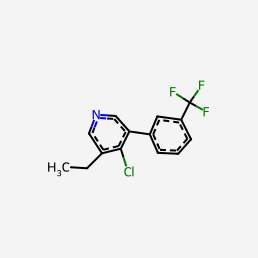 CCc1cncc(-c2cccc(C(F)(F)F)c2)c1Cl